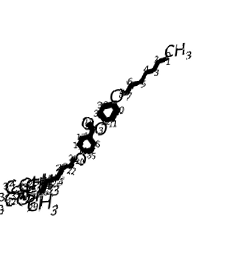 CCCCCCCCOc1ccc(OC(=O)c2ccc(OCCCCCC[Si](C)(C)O[Si](C)(C)C)cc2)cc1